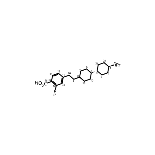 CCC[C@H]1CC[C@H](C2CCC(CCc3ccc(C(=O)O)c(F)c3)CC2)CC1